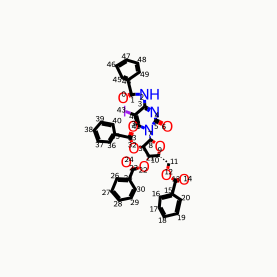 O=C(Nc1nc(=O)n([C@@H]2O[C@H](COC(=O)c3ccccc3)[C@H](OC(=O)c3ccccc3)[C@H]2OC(=O)c2ccccc2)cc1I)c1ccccc1